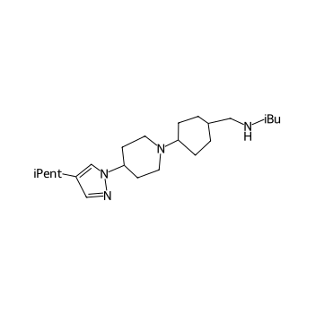 CCCC(C)c1cnn(C2CCN(C3CCC(CNC(C)CC)CC3)CC2)c1